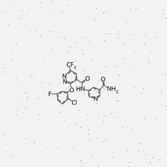 NC(=O)c1cncc(NC(=O)c2cc(C(F)(F)F)nnc2Oc2cc(F)ccc2Cl)c1